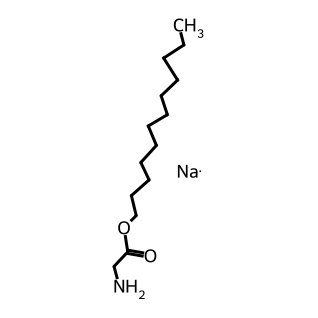 CCCCCCCCCCCCOC(=O)CN.[Na]